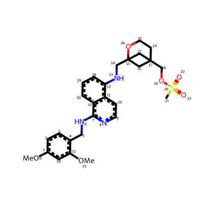 COc1ccc(CNc2nccc3c(NCC45CC(COS(C)(=O)=O)(CCO4)C5)cccc23)c(OC)c1